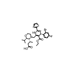 CCOC(=O)C1=C(CN2CCO[C@H](C(C)C)[C@H]2C(C)CC(=O)O)NC(c2nccs2)=N[C@H]1c1ccc(F)cc1Br